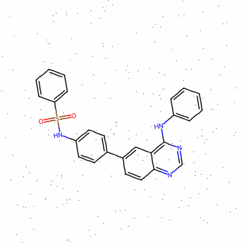 O=S(=O)(Nc1ccc(-c2ccc3ncnc(Nc4ccccc4)c3c2)cc1)c1ccccc1